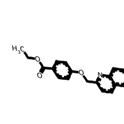 CCOC(=O)c1ccc(OCc2ccc3ccccc3n2)cc1